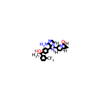 [2H]C1CC2N(C(=O)C3([2H])CC23[2H])C([2H])C1c1nc(-c2ccc([C@@](C)(O)c3cccc(C(F)(F)F)c3)cc2)c2c(N)nccn12